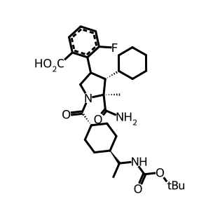 CC(NC(=O)OC(C)(C)C)[C@H]1CC[C@H](C(=O)N2CC(c3c(F)cccc3C(=O)O)[C@H](C3CCCCC3)[C@@]2(C)C(N)=O)CC1